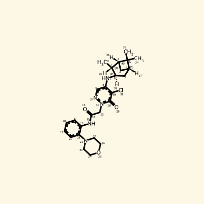 C[C@@H]1[C@H]2C[C@@H](C[C@H]1Nc1cnn(CC(=O)Nc3ccccc3N3CCOCC3)c(=O)c1Cl)C2(C)C